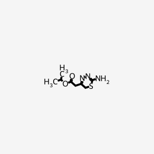 CC(C)OC(=O)CC1=NN=C(N)SC1